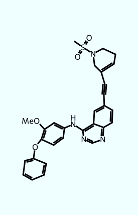 COc1cc(Nc2ncnc3ccc(C#CC4=CCCN(S(C)(=O)=O)C4)cc23)ccc1Oc1ccccc1